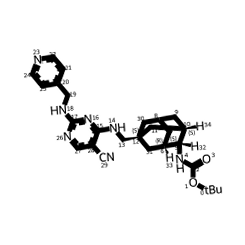 CC(C)(C)OC(=O)N[C@@H]1[C@@H]2CC3C[C@H]1C[C@@](CNc1nc(NCc4ccncc4)ncc1C#N)(C3)C2